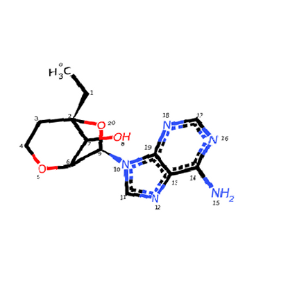 CC[C@]12CCOC(C1O)[C@H](n1cnc3c(N)ncnc31)O2